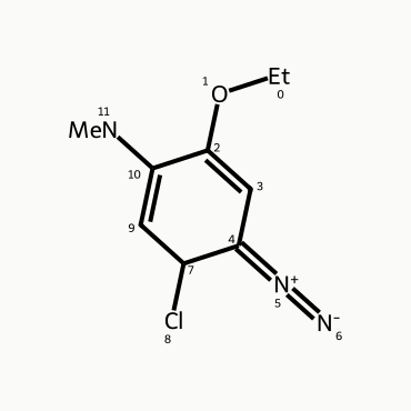 CCOC1=CC(=[N+]=[N-])C(Cl)C=C1NC